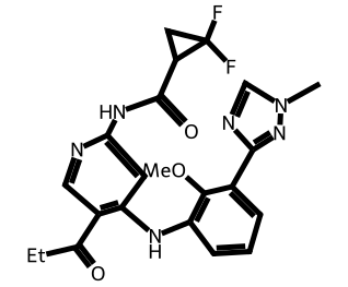 CCC(=O)c1cnc(NC(=O)C2CC2(F)F)cc1Nc1cccc(-c2ncn(C)n2)c1OC